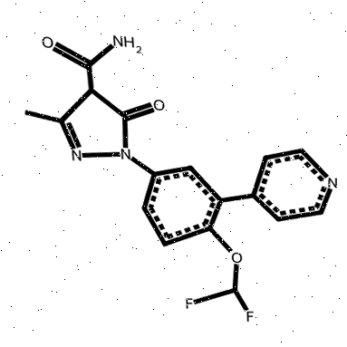 CC1=NN(c2ccc(OC(F)F)c(-c3ccncc3)c2)C(=O)C1C(N)=O